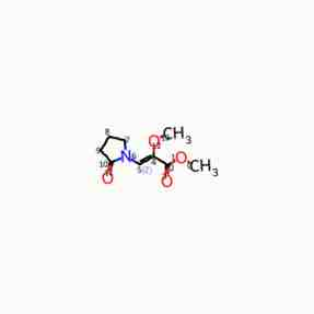 COC(=O)/C(=C/N1CCCC1=O)OC